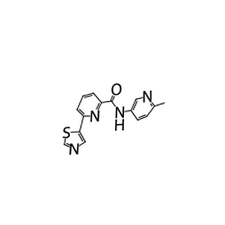 Cc1ccc(NC(=O)c2cccc(-c3cncs3)n2)cn1